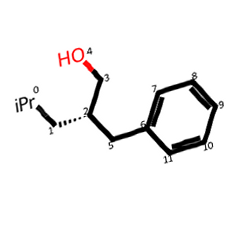 CC(C)C[C@H](CO)Cc1ccccc1